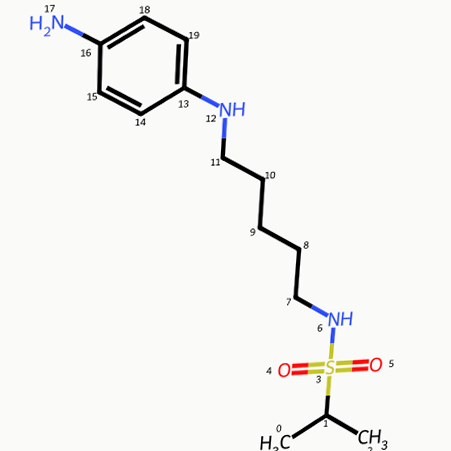 CC(C)S(=O)(=O)NCCCCCNc1ccc(N)cc1